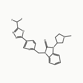 CN1CCC(n2c(=O)n(Cc3ccc(-c4nnc(C(F)F)o4)cn3)c3ccccc32)C1